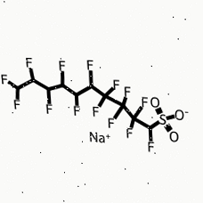 O=S(=O)([O-])C(F)C(F)(F)C(F)(F)C(F)(F)C(F)C(F)C(F)C(F)C(F)C(F)F.[Na+]